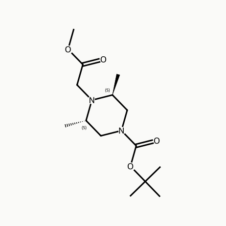 COC(=O)CN1[C@@H](C)CN(C(=O)OC(C)(C)C)C[C@@H]1C